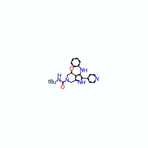 CC(C)(C)NC(=O)N1CC(=O)c2c([nH]c(-c3ccncc3)c2Nc2ccccc2)C1